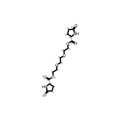 O=C1CC[C@@H](C(=O)OCCOCCOCCOC(=O)[C@@H]2CCC(=O)N2)N1